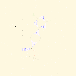 CC(C)(C)OC(=N)N1CCN(c2nc(Cl)nc(Cl)n2)CC1